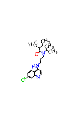 CCC(CC)C(=O)N(CCCNc1ccnc2cc(Cl)ccc12)C(C)C